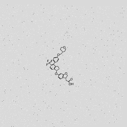 O=C(O)CC1COc2cc(O[C@@H]3CCc4c3ccc(C(F)(F)F)c4-c3ccc(OCC4CCOCC4)cc3)ccc21